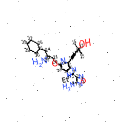 CCn1c(-c2nonc2N)nc2c(C#CC(C)(C)O)nc(OC[C@@H](N)CC3CCCCC3)cc21